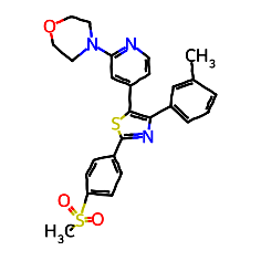 Cc1cccc(-c2nc(-c3ccc(S(C)(=O)=O)cc3)sc2-c2ccnc(N3CCOCC3)c2)c1